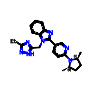 CCc1n[nH]c(Cn2c(-c3ccc(N4[C@@H](C)CC[C@@H]4C)nc3)nc3ccccc32)n1